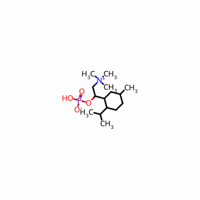 CC1CCC(C(C)C)C(C(C[N+](C)(C)C)OP(=O)([O-])O)C1